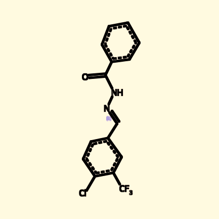 O=C(N/N=C/c1ccc(Cl)c(C(F)(F)F)c1)c1ccccc1